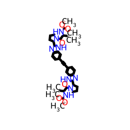 COC(=O)NC(C(=O)N1CCCC1c1nc2ccc(C#Cc3ccc4nc(C5CCCN5C(=O)C(NC(=O)OC)C(C)C)[nH]c4c3)cc2[nH]1)C(C)C